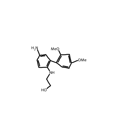 COc1ccc(-c2cc(N)ccc2NCCO)c(OC)c1